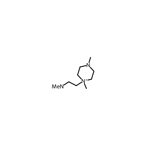 CNCC[N+]1(C)CCN(C)CC1